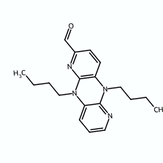 CCCCN1c2ccc(C=O)nc2N(CCCC)c2cccnc21